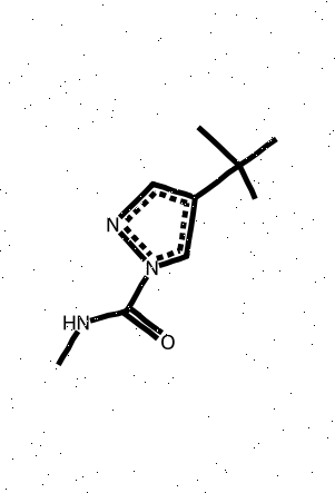 CNC(=O)n1cc(C(C)(C)C)cn1